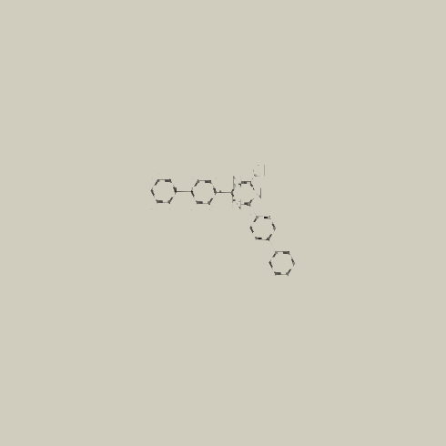 Clc1nc(-c2ccc(-c3ccccc3)cc2)nc(-c2ccc(-c3ccccc3)cc2)n1